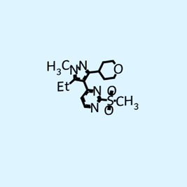 CCc1c(-c2ccnc(S(C)(=O)=O)n2)c(C2CCOCC2)nn1C